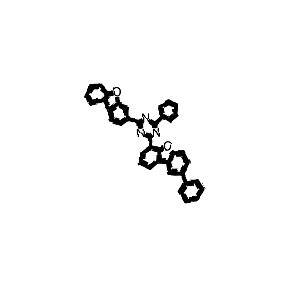 c1ccc(-c2ccc3oc4c(-c5nc(-c6ccccc6)nc(-c6ccc7c(c6)oc6ccccc67)n5)cccc4c3c2)cc1